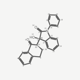 O=C1c2ccccc2CC[C@@H]1[C@]1(O)C(=O)N(c2ccccc2)c2ccccc21